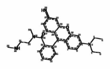 CCN(CC)c1ccc2c(-c3ccccc3C(=O)N(C)CCNC)c3ccc(=N)cc-3oc2c1